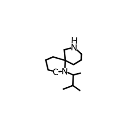 CC(C)C(C)N1CCCCC12CCCNC2